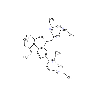 C\C=C/N=C(\C=C(/C)CC)CNc1cc(C(/C=C\C=C\CC)=C(/C)C2CC2)nc2c(C)c(CC)n(C(C)C)c12